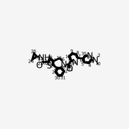 CN(C)c1ccc(-c2cccc(C(=O)N3CCc4cc(C(=O)NC5CC5)sc4-c4ccccc43)n2)cn1